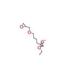 CCO[Si](C)(CCCCOCC1CO1)OC